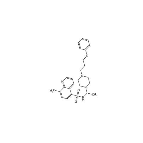 Cc1ccc(S(=O)(=O)NC(C)N2CCN(CCCOc3ccccc3)CC2)c2cccnc12